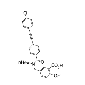 CCCCCCN(Cc1ccc(O)c(C(=O)O)c1)C(=O)c1ccc(C#Cc2ccc(Cl)cc2)cc1